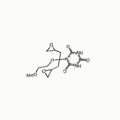 COCCOC(CC1CO1)(CC1CO1)n1c(=O)[nH]c(=O)[nH]c1=O